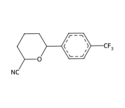 N#CC1CCCC(c2ccc(C(F)(F)F)cc2)O1